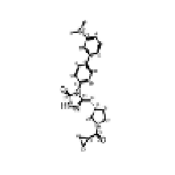 CN(C)c1cccc(-c2ccc(-n3c(C[C@@H]4CCN(C(=O)C5CC5)C4)n[nH]c3=O)cc2)c1